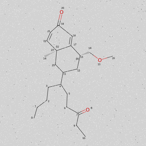 CCCCC(CCC(=O)CC)C1C[C@@H](COC)C2=CC(=O)C=C[C@]2(C)C1